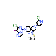 CC(C)(C)SN[C@@H]1CN(c2ccnc(Cl)c2)CC12CCN(c1nc(Cl)c(I)c3nccn13)CC2